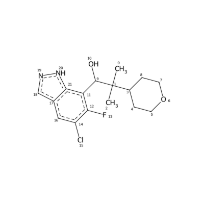 CC(C)(C1CCOCC1)C(O)c1c(F)c(Cl)cc2cn[nH]c12